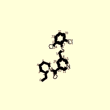 CCC1CCCCN1C(=O)c1cncc(CSc2c(Cl)cccc2Cl)c1